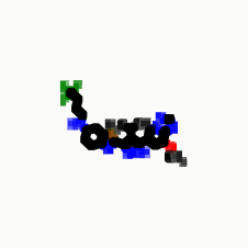 COc1cc(-c2[nH]nc(-c3nc4c(s3)CC(NCCCC(F)(F)F)CC4)c2C(C)C)cn2ncnc12